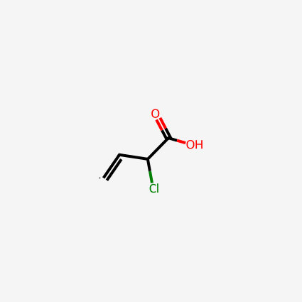 [CH]=CC(Cl)C(=O)O